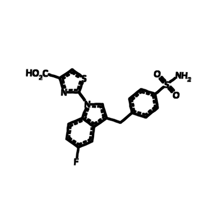 NS(=O)(=O)c1ccc(Cc2cn(-c3nc(C(=O)O)cs3)c3ccc(F)cc23)cc1